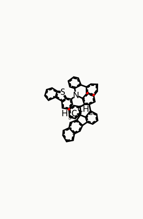 CC1(C)c2cc3ccccc3cc2-c2cccc(-c3cccc(N(c4ccccc4-c4ccccc4)c4cccc5c4sc4ccccc45)c3-c3ccccc3)c21